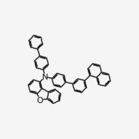 c1ccc(-c2ccc(N(c3ccc(-c4cccc(-c5cccc6ccccc56)c4)cc3)c3cccc4oc5ccccc5c34)cc2)cc1